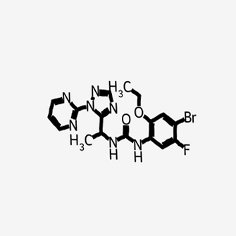 CCOc1cc(Br)c(F)cc1NC(=O)NC(C)c1ncnn1-c1ncccn1